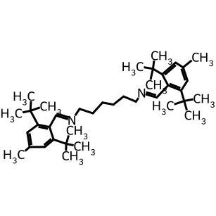 Cc1cc(C(C)(C)C)c(/C=N/CCCCCC/N=C/c2c(C(C)(C)C)cc(C)cc2C(C)(C)C)c(C(C)(C)C)c1